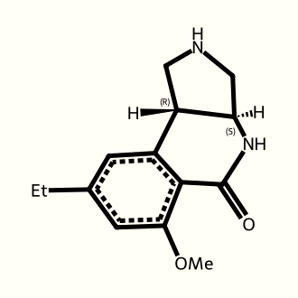 CCc1cc(OC)c2c(c1)[C@@H]1CNC[C@H]1NC2=O